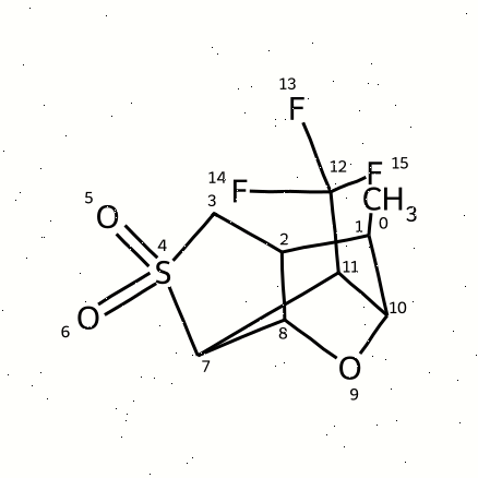 CC1C2CS(=O)(=O)C3C2OC1C3C(F)(F)F